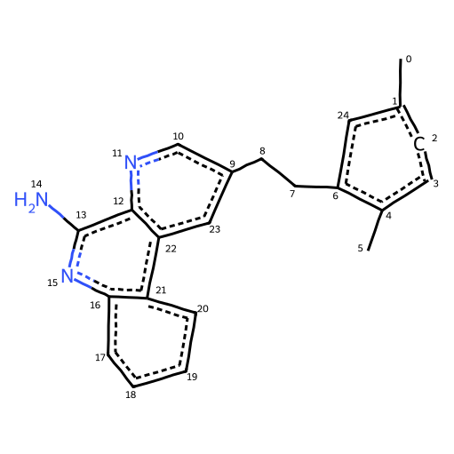 Cc1ccc(C)c(CCc2cnc3c(N)nc4ccccc4c3c2)c1